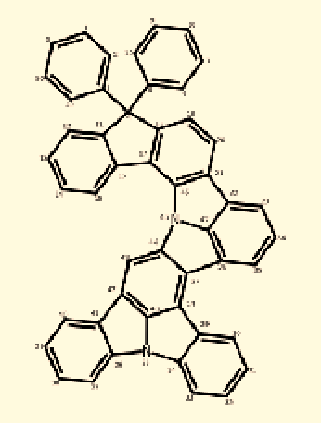 c1ccc(C2(c3ccccc3)c3ccccc3-c3c2ccc2c4cccc5c6c7c8ccccc8n8c9ccccc9c(cc6n(c32)c45)c78)cc1